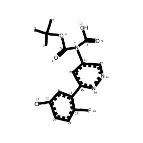 CC(C)(C)OC(=O)N(C(=O)O)c1cnnc(-c2cc(Cl)ccc2F)c1